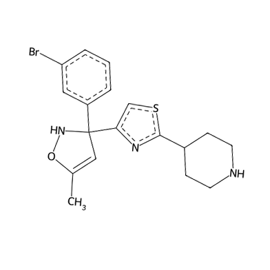 CC1=CC(c2cccc(Br)c2)(c2csc(C3CCNCC3)n2)NO1